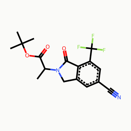 CC(C(=O)OC(C)(C)C)N1Cc2cc(C#N)cc(C(F)(F)F)c2C1=O